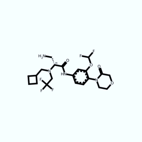 NC[C@H](C(=O)Nc1ccc(N2CCOCC2=O)c(OC(F)F)c1)N(CC1CCC1)CC(F)(F)F